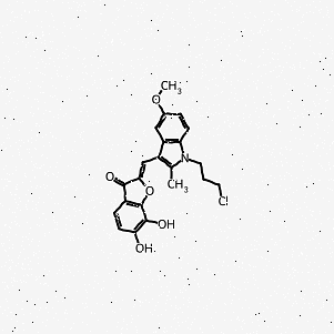 COc1ccc2c(c1)c(/C=C1\Oc3c(ccc(O)c3O)C1=O)c(C)n2CCCCl